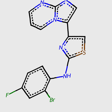 Fc1ccc(Nc2nc(-c3cnc4ncccn34)cs2)c(Br)c1